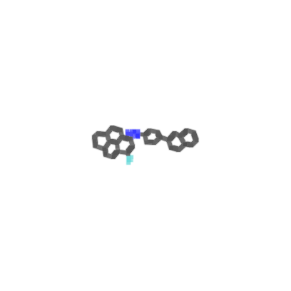 Fc1cc(Nc2ccc(-c3ccc4ccccc4c3)cc2)c2ccc3cccc4ccc1c2c43